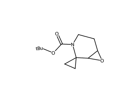 CC(C)(C)OC(=O)N1CCC2OC2C12CC2